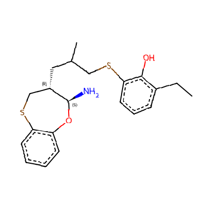 CCc1cccc(SCC(C)C[C@H]2CSc3ccccc3O[C@@H]2N)c1O